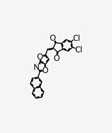 O=C1C(=Cc2cc3oc(-c4ccc5ccccc5c4)nc3o2)C(=O)c2cc(Cl)c(Cl)cc21